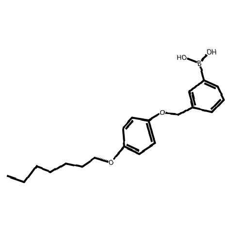 CCCCCCCOc1ccc(OCc2cccc(B(O)O)c2)cc1